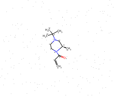 C=CC(=O)N1CCN(C(C)(C)C)C[C@H]1C